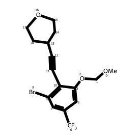 COCOc1cc(C(F)(F)F)cc(Br)c1C#CC1CCOCC1